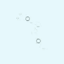 COCCc1ccc(OCC(O)CNC2CCCCC2OCCc2ccc(OC)c(OC)c2)cc1